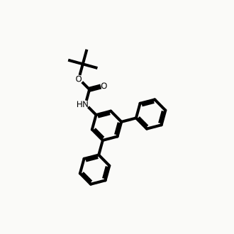 CC(C)(C)OC(=O)Nc1cc(-c2ccccc2)cc(-c2ccccc2)c1